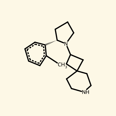 Cc1ccccc1[C@@H]1CCCN1C1CC2(CCNCC2)C1